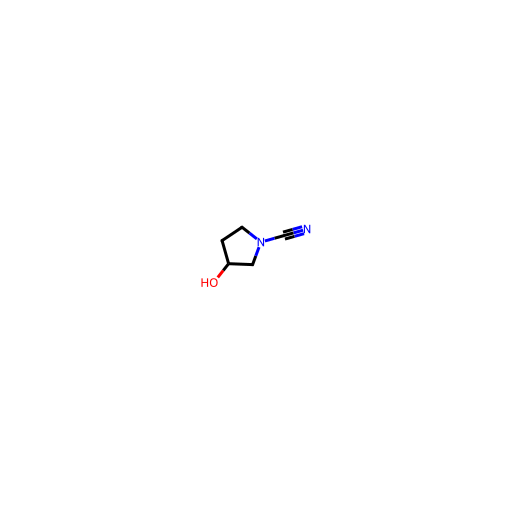 N#CN1CCC(O)C1